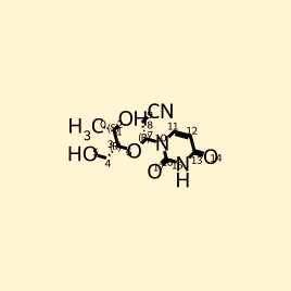 C[C@H](O)[C@@H](CO)O[C@H](CC#N)n1ccc(=O)[nH]c1=O